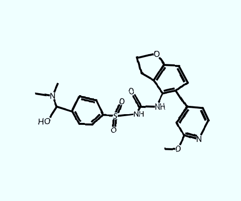 COc1cc(-c2ccc3c(c2NC(=O)NS(=O)(=O)c2ccc(C(O)N(C)C)cc2)CCO3)ccn1